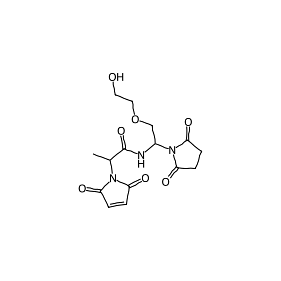 CC(C(=O)NC(COCCO)N1C(=O)CCC1=O)N1C(=O)C=CC1=O